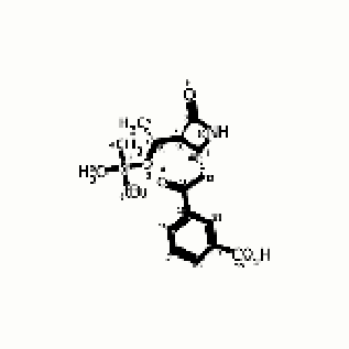 C[C@@H](O[Si](C)(C)C(C)(C)C)[C@H]1C(=O)N[C@@H]1CC(=O)c1cccc(C(=O)O)c1